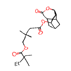 CCC(C)(C)C(=O)OCC(C)(C)CC(=O)OC1C2CC3C(=O)OC1C3C2